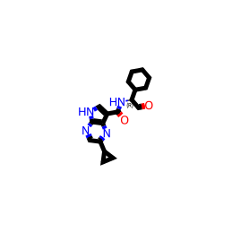 O=C[C@H](NC(=O)c1c[nH]c2ncc(C3CC3)nc12)C1CCCCC1